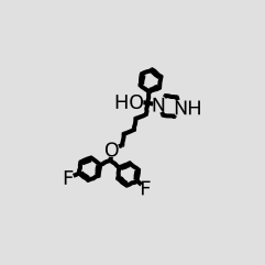 OC(CCCCCOC(c1ccc(F)cc1)c1ccc(F)cc1)(c1ccccc1)N1CCNCC1